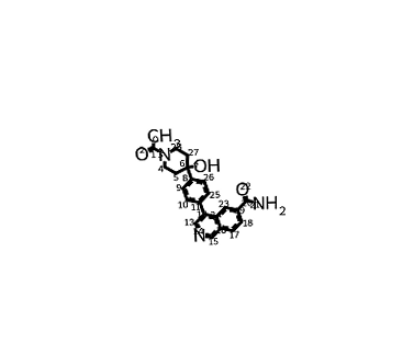 CC(=O)N1CCC(O)(c2ccc(-c3cncc4ccc(C(N)=O)cc34)cc2)CC1